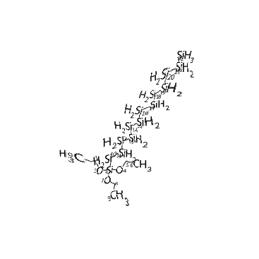 CCO[Si](OCC)(OCC)[SiH2][SiH2][SiH2][SiH2][SiH2][SiH2][SiH2][SiH2][SiH2][SiH2][SiH2][SiH2][SiH3]